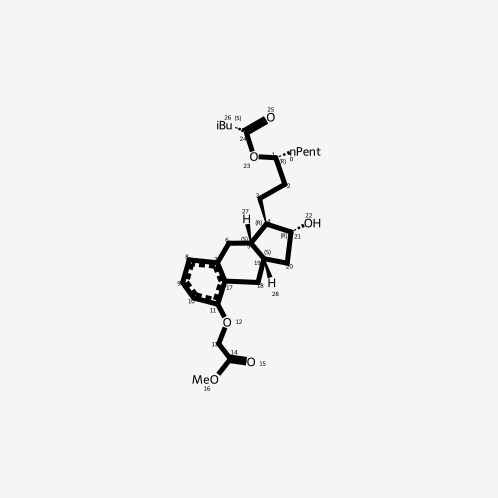 CCCCC[C@H](CC[C@@H]1[C@H]2Cc3cccc(OCC(=O)OC)c3C[C@H]2C[C@H]1O)OC(=O)[C@@H](C)CC